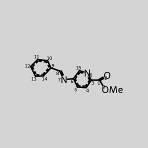 COC(=O)c1ccc(N=Cc2ccccc2)cn1